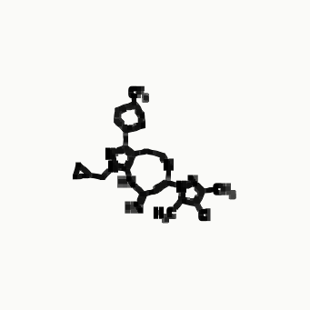 Cc1nn(C2=C/C(=N)Nc3c(c(-c4ccc(C(F)(F)F)cc4)nn3CC3CC3)C/C=N\2)c(C)c1Cl